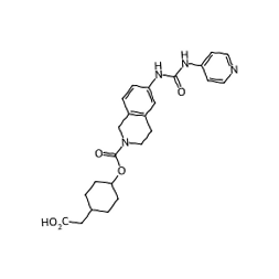 O=C(O)CC1CCC(OC(=O)N2CCc3cc(NC(=O)Nc4ccncc4)ccc3C2)CC1